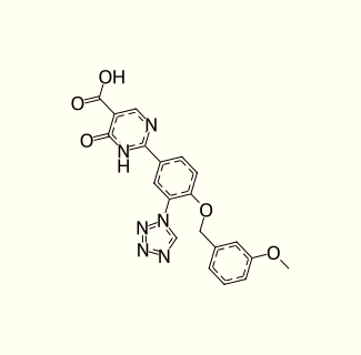 COc1cccc(COc2ccc(-c3ncc(C(=O)O)c(=O)[nH]3)cc2-n2cnnn2)c1